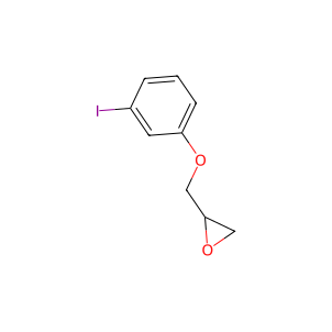 Ic1cccc(OCC2CO2)c1